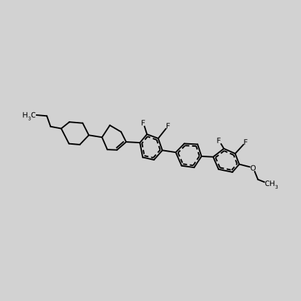 CCCC1CCC(C2CC=C(c3ccc(-c4ccc(-c5ccc(OCC)c(F)c5F)cc4)c(F)c3F)CC2)CC1